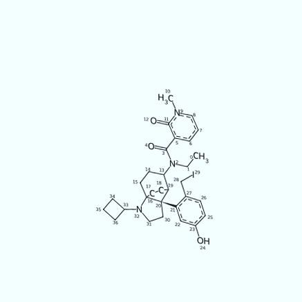 CCN(C(=O)c1cccn(C)c1=O)C1CCC23CCC1[C@]2(c1cc(O)ccc1CI)CCN3C1CCC1